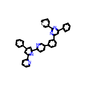 c1ccc(-c2cc(-c3ccccn3)nc(-c3ccc(-c4cccc(-c5cc(-c6ccccc6)nc(-c6ccccc6)n5)c4)cn3)c2)cc1